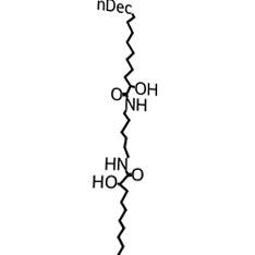 CCCCCCCCCCCCCCCCCCC(O)C(=O)NCCCCCCNC(=O)C(O)CCCCCCCCCCCCCCCCCC